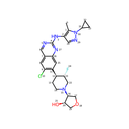 Cc1c(Nc2ncc3cc(Cl)c([C@@H]4CCN([C@H]5COC[C@H]5O)C[C@H]4F)cc3n2)cnn1C1CC1